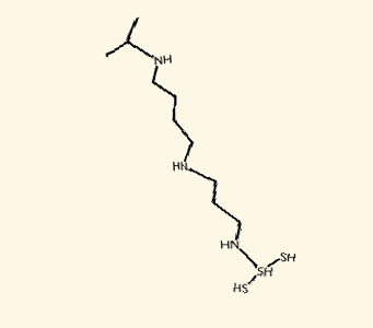 CC(C)NCCCCNCCCN[SH](S)S